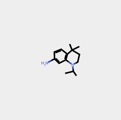 CC(C)N1CCC(C)(C)c2ccc(N)cc21